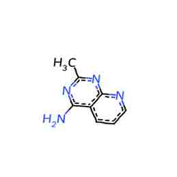 Cc1nc(N)c2cccnc2n1